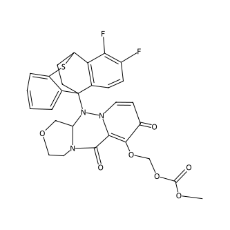 COC(=O)OCOc1c2n(ccc1=O)N(C13CCC(Sc4ccccc41)c1c3ccc(F)c1F)C1COCCN1C2=O